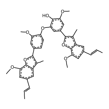 C/C=C/c1cc(OC)c2oc(-c3ccc(Oc4cc(-c5oc6c(OC)cc(/C=C/C)cc6c5C)cc(OC)c4O)c(OC)c3)c(C)c2c1